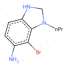 CCCN1CNc2ccc(N)c(Br)c21